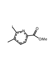 COC(=O)c1ccc(C)c(I)n1